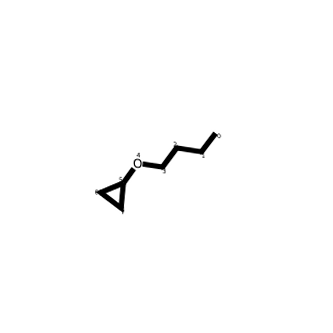 [CH2]CCCOC1CC1